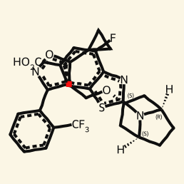 O=C(O)c1cc(F)c2nc(N3[C@@H]4CC[C@H]3C[C@H](OCc3c(-c5ccccc5C(F)(F)F)noc3C3CC3)C4)sc2c1